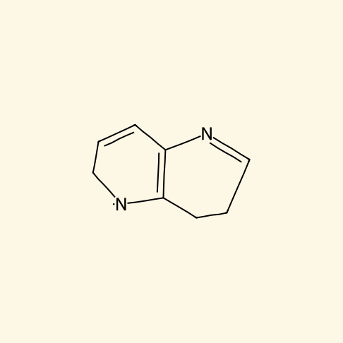 C1=CC2=C(CCC=N2)[N]C1